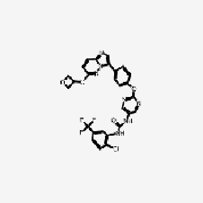 O=C(Nc1cnc(Oc2ccc(-c3cnc4ccc(OC5COC5)nn34)cc2)nc1)Nc1cc(C(F)(F)F)ccc1Cl